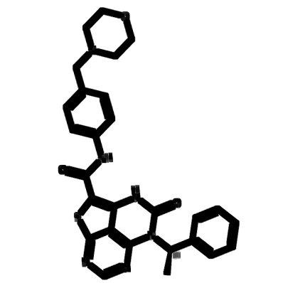 C[C@H](c1ccccc1)N1C(=O)Nc2c(C(=O)Nc3ccc(CN4CCOCC4)cc3)sc3ncnc1c23